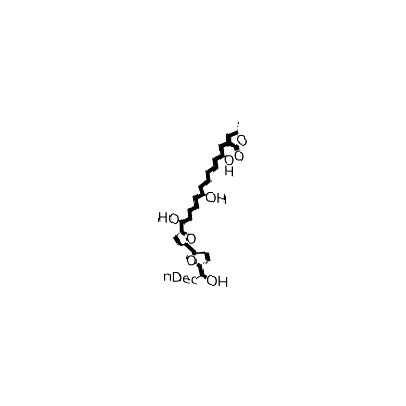 CCCCCCCCCC[C@@H](O)[C@H]1CC[C@H]([C@H]2CC[C@H]([C@H](O)CCCC[C@H](O)CCCCC[C@@H](O)CC3=C[C@H](C)OC3=O)O2)O1